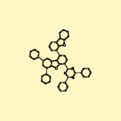 c1ccc(-c2cc(-c3ccccc3)c3oc4c(-c5nc(-c6ccccc6)nc(-c6ccccc6)n5)ccc(-c5cccc6c5oc5ccccc56)c4c3c2)cc1